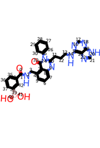 O=C(NCc1cccc2nc(CCCNc3ncnc4[nH]cnc34)n(-c3ccccc3)c(=O)c12)c1cccc(B(O)O)c1